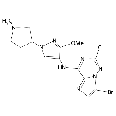 COc1nn(C2CCN(C)C2)cc1Nc1nc(Cl)nn2c(Br)cnc12